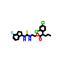 CCCC(C(=O)OCCNC(=S)NC1CCc2c(F)cccc21)c1ccc(Cl)cc1Cl